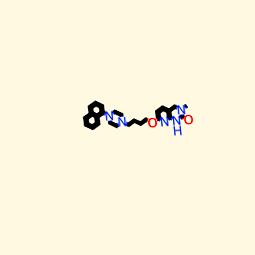 CN1Cc2ccc(OCCCCN3CCN(c4cccc5ccccc45)CC3)nc2NC1=O